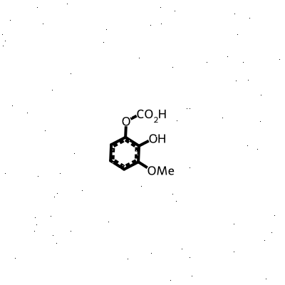 COc1cccc(OC(=O)O)c1O